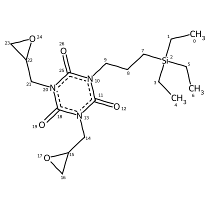 CC[Si](CC)(CC)CCCn1c(=O)n(CC2CO2)c(=O)n(CC2CO2)c1=O